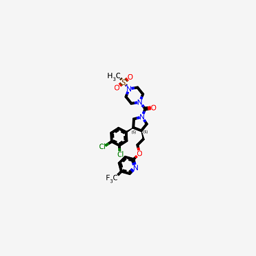 CS(=O)(=O)N1CCN(C(=O)N2C[C@@H](CCOc3ccc(C(F)(F)F)cn3)[C@@H](c3ccc(Cl)c(Cl)c3)C2)CC1